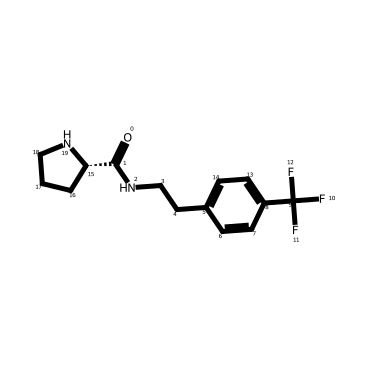 O=C(NCCc1ccc(C(F)(F)F)cc1)[C@@H]1CCCN1